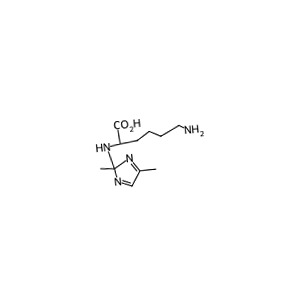 CC1=NC(C)(NC(CCCCN)C(=O)O)N=C1